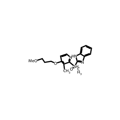 COCCCOc1ccnc([SH](C)(=O)c2nc3ccccc3[nH]2)c1C